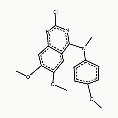 COc1ccc(N(C)c2nc(Cl)nc3cc(OC)c(OC)cc23)cc1